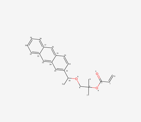 C=CC(=O)OC(C)(C)COC(C)c1ccc2cc3ccccc3cc2c1